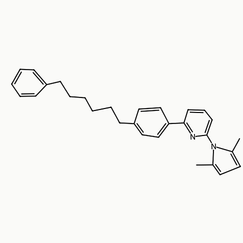 Cc1ccc(C)n1-c1cccc(-c2ccc(CCCCCCc3ccccc3)cc2)n1